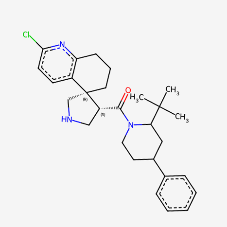 CC(C)(C)C1CC(c2ccccc2)CCN1C(=O)[C@@H]1CNC[C@]12CCCc1nc(Cl)ccc12